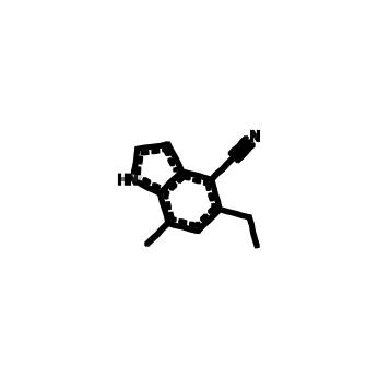 CCc1cc(C)c2[nH]ccc2c1C#N